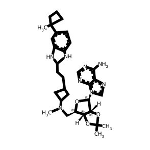 CN(C[C@H]1O[C@@H](n2cnc3c(N)ncnc32)[C@@H]2OC(C)(C)O[C@@H]21)C1CC(CCC2Nc3ccc(C4(C)CCC4)cc3N2)C1